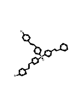 O=P(c1ccc(/C=C/c2ccccc2)cc1)(c1ccc(/C=C/c2ccc(Br)cc2)cc1)c1ccc(/C=C/c2ccc(Br)cc2)cc1